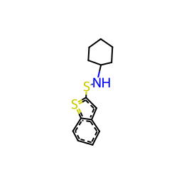 c1ccc2sc(SNC3CCCCC3)cc2c1